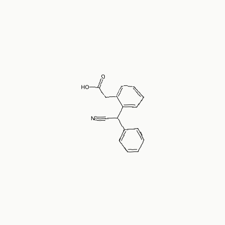 N#CC(c1ccccc1)c1ccccc1CC(=O)O